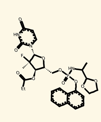 CCC(=O)O[C@@H]1[C@@H](COP(=O)(NC(C)C2OCCO2)Oc2cccc3ccccc23)O[C@@H](n2ccc(=O)[nH]c2=O)[C@]1(C)F